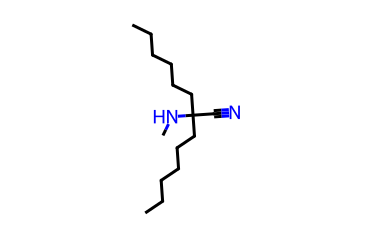 CCCCCCC(C#N)(CCCCCC)NC